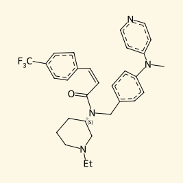 CCN1CCC[C@H](N(Cc2ccc(N(C)c3ccncc3)cc2)C(=O)C=Cc2ccc(C(F)(F)F)cc2)C1